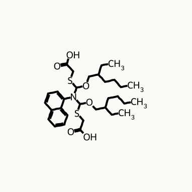 CCCCC(CC)COC(SCC(=O)O)N(c1cccc2ccccc12)C(OCC(CC)CCCC)SCC(=O)O